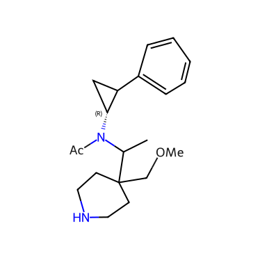 COCC1(C(C)N(C(C)=O)[C@@H]2CC2c2ccccc2)CCNCC1